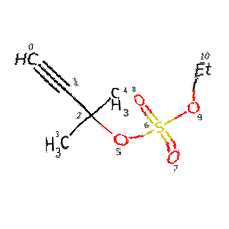 C#CC(C)(C)OS(=O)(=O)OCC